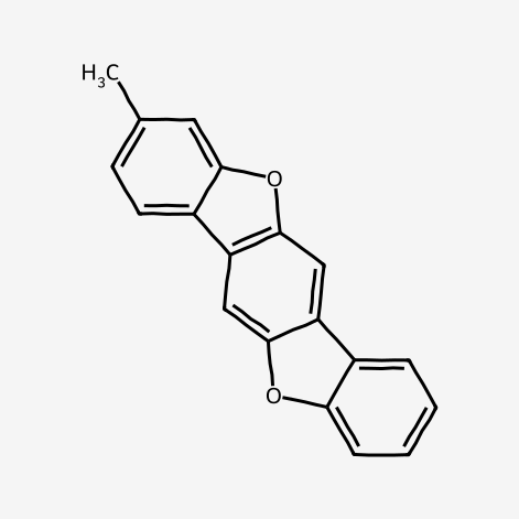 Cc1ccc2c(c1)oc1cc3c(cc12)oc1ccccc13